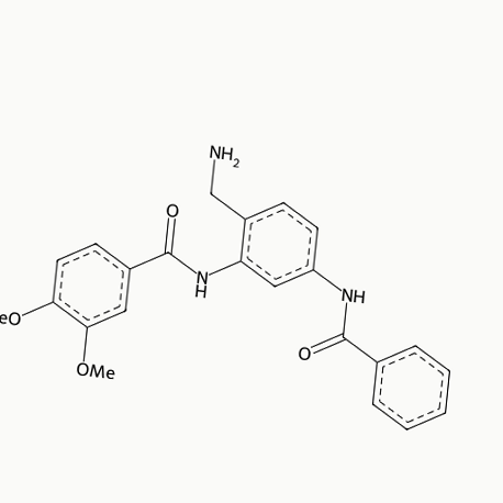 COc1ccc(C(=O)Nc2cc(NC(=O)c3ccccc3)ccc2CN)cc1OC